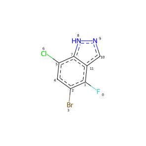 Fc1c(Br)cc(Cl)c2[nH]ncc12